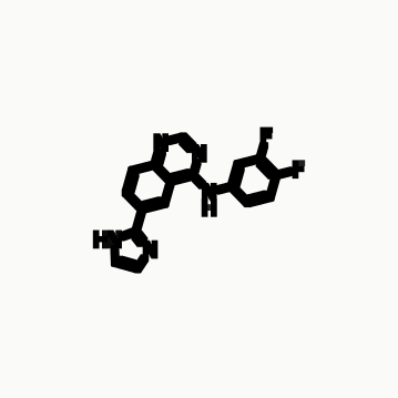 Fc1ccc(Nc2ncnc3ccc(-c4ncc[nH]4)cc23)cc1F